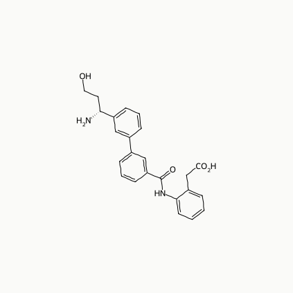 N[C@H](CCO)c1cccc(-c2cccc(C(=O)Nc3ccccc3CC(=O)O)c2)c1